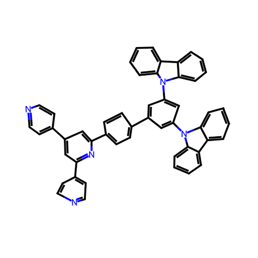 c1ccc2c(c1)c1ccccc1n2-c1cc(-c2ccc(-c3cc(-c4ccncc4)cc(-c4ccncc4)n3)cc2)cc(-n2c3ccccc3c3ccccc32)c1